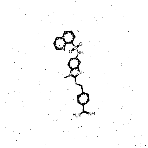 Cn1c(SCc2ccc(C(=N)N)cc2)nc2cc(NS(=O)(=O)c3cccc4cccnc34)ccc21